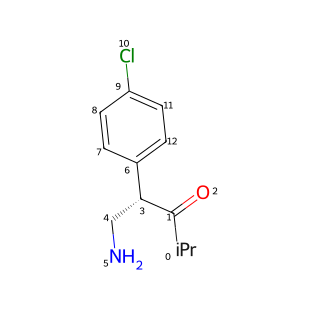 CC(C)C(=O)[C@H](CN)c1ccc(Cl)cc1